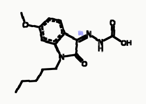 CCCCCN1C(=O)/C(=N\NC(=O)O)c2ccc(OC)cc21